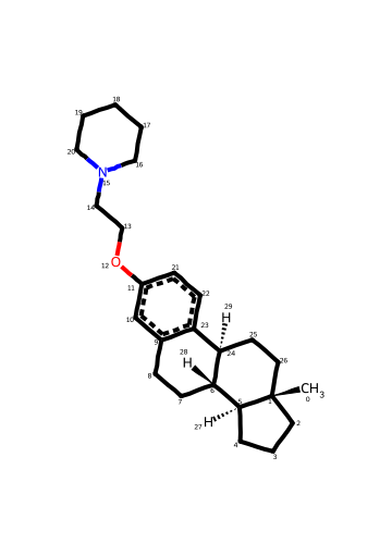 C[C@@]12CCC[C@H]1[C@@H]1CCc3cc(OCCN4CCCCC4)ccc3[C@H]1CC2